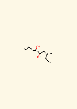 CCCC(O)C(O)CC(C)CC